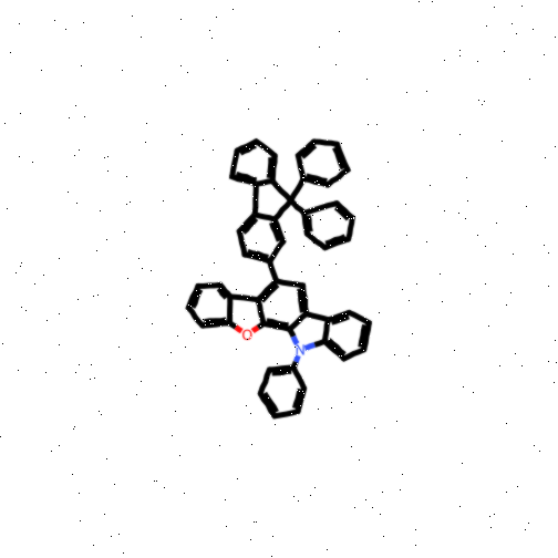 c1ccc(-n2c3ccccc3c3cc(-c4ccc5c(c4)C(c4ccccc4)(c4ccccc4)c4ccccc4-5)c4c5ccccc5oc4c32)cc1